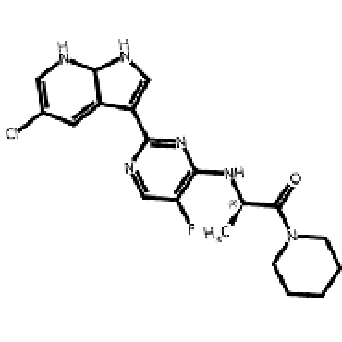 C[C@@H](Nc1nc(C2=CNC3NC=C(Cl)C=C23)ncc1F)C(=O)N1CCCCC1